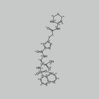 O=C(CCc1ccc(C(=O)NC[C@H](NS(=O)(=O)c2cccc3cccnc23)C(=O)O)s1)NC1=NCCCN1